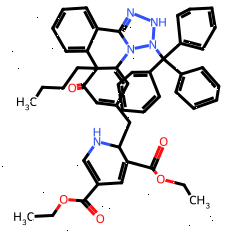 CCCCC12C(=O)C=C(CC3NC=C(C(=O)OCC)C=C3C(=O)OCC)C=C1N1C(=NNN1C(c1ccccc1)(c1ccccc1)c1ccccc1)c1ccccc12